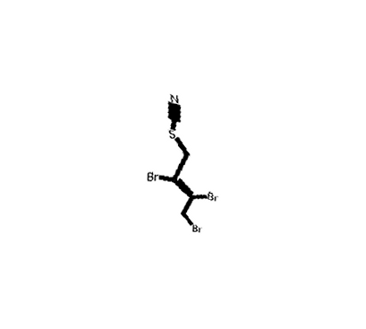 N#CSCC(Br)=C(Br)CBr